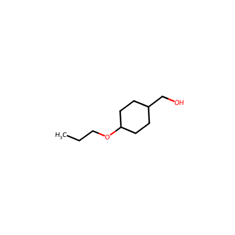 CCCOC1CCC(CO)CC1